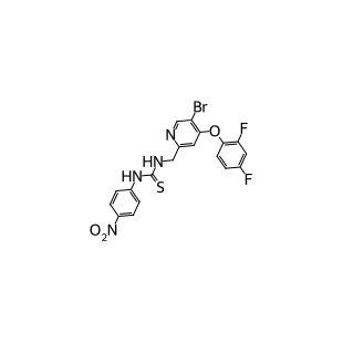 O=[N+]([O-])c1ccc(NC(=S)NCc2cc(Oc3ccc(F)cc3F)c(Br)cn2)cc1